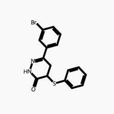 O=C1NN=C(c2cccc(Br)c2)CC1Sc1ccccc1